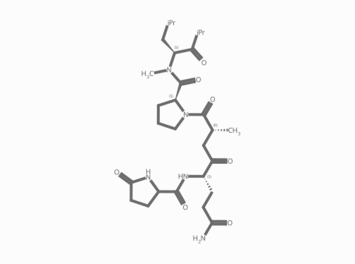 CC(C)C[C@@H](C(=O)C(C)C)N(C)C(=O)[C@@H]1CCCN1C(=O)[C@H](C)CC(=O)[C@H](CCC(N)=O)NC(=O)C1CCC(=O)N1